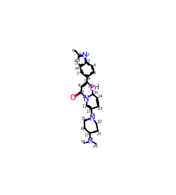 Cc1nc2ccc(C3=CC(=O)N4C=C(N5CCC(N(C)C)CC5)C=CC4P3)cc2s1